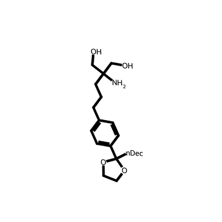 CCCCCCCCCCC1(c2ccc(CCCC(N)(CO)CO)cc2)OCCO1